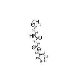 COCCCNC(=O)CCC(=O)OCc1ccccc1